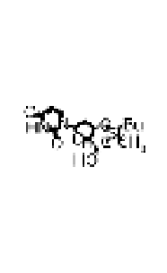 CCC(C)[Si](C)(C)O[C@H]1C[C@H](n2ccc(=O)[nH]c2=O)O[C@@H]1CO